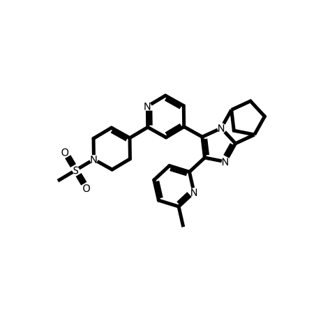 Cc1cccc(-c2nc3n(c2-c2ccnc(C4=CCN(S(C)(=O)=O)CC4)c2)C2CCC3C2)n1